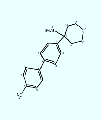 CCCC(C)C1(c2ccc(-c3ccc(C#N)cc3)cc2)CCCCC1